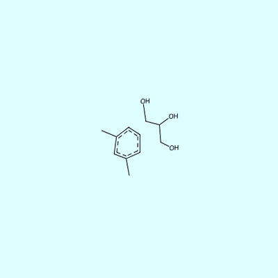 Cc1cccc(C)c1.OCC(O)CO